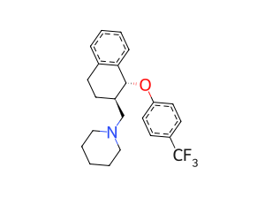 FC(F)(F)c1ccc(O[C@H]2c3ccccc3CC[C@@H]2CN2CCCCC2)cc1